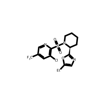 CCc1cnc([C@@H]2CCCCN2S(=O)(=O)c2ncc(C(F)(F)F)cc2Cl)o1